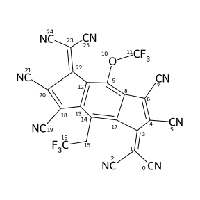 N#CC(C#N)=C1C(C#N)=C(C#N)c2c(OC(F)(F)F)c3c(c(CC(F)(F)F)c21)C(C#N)=C(C#N)C3=C(C#N)C#N